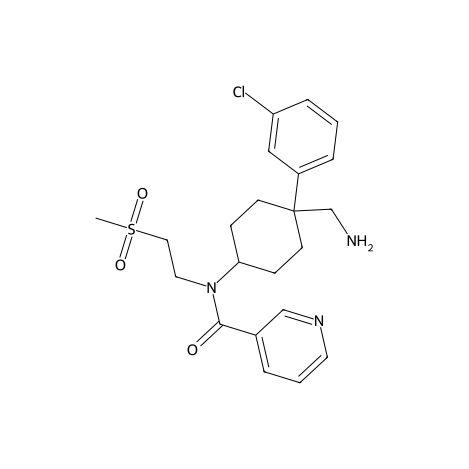 CS(=O)(=O)CCN(C(=O)c1cccnc1)C1CCC(CN)(c2cccc(Cl)c2)CC1